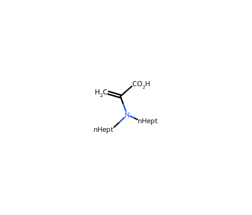 C=C(C(=O)O)N(CCCCCCC)CCCCCCC